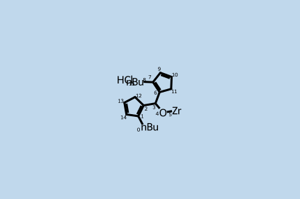 CCCCC1=C(C([O][Zr])C2=C(CCCC)C=CC2)CC=C1.Cl